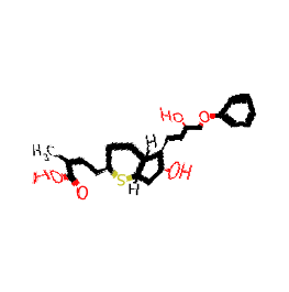 CC(CC[C@H]1CC[C@@H]2[C@@H](C=C[C@@H](O)COc3ccccc3)[C@H](O)C[C@@H]2S1)C(=O)O